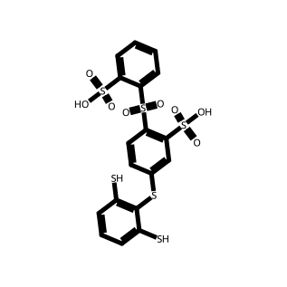 O=S(=O)(O)c1ccccc1S(=O)(=O)c1ccc(Sc2c(S)cccc2S)cc1S(=O)(=O)O